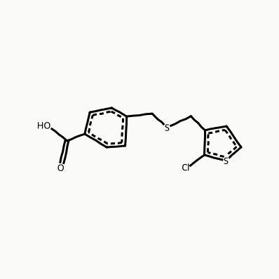 O=C(O)c1ccc(CSCc2ccsc2Cl)cc1